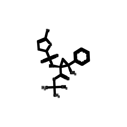 CC(C)(C)OC(=O)[C@]1(NS(=O)(=O)C2CC=C(Br)S2)C[C@]1(C)c1ccccc1